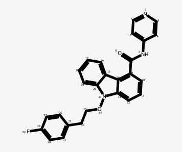 O=C(Nc1ccncc1)c1cccc2c1c1ccccc1n2OCCc1ccc(F)cc1